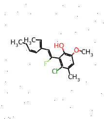 C/C=C(\C=C/CC)/C=C(\F)c1c(O)c(OC)cc(C)c1Cl